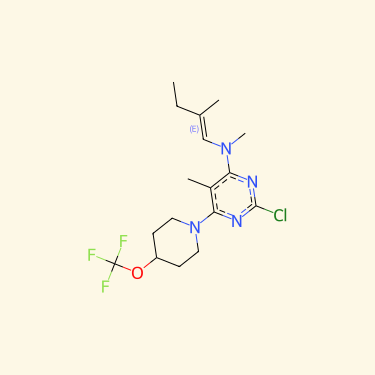 CC/C(C)=C/N(C)c1nc(Cl)nc(N2CCC(OC(F)(F)F)CC2)c1C